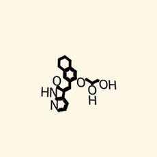 O=C1Nc2ncccc2C1=Cc1cc2c(cc1OCC(O)CO)CCCC2